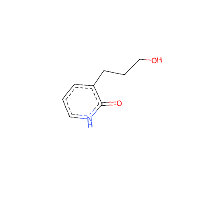 O=c1[nH]cccc1CCCO